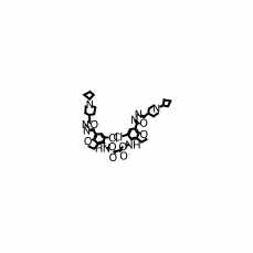 O=C(ONc1c(Cl)cc(-c2nnc(C3CCN(C4CCC4)CC3)o2)c2c1CCO2)C(=O)ONc1c(Cl)cc(-c2nnc(C3CCN(C4CCC4)CC3)o2)c2c1CCO2